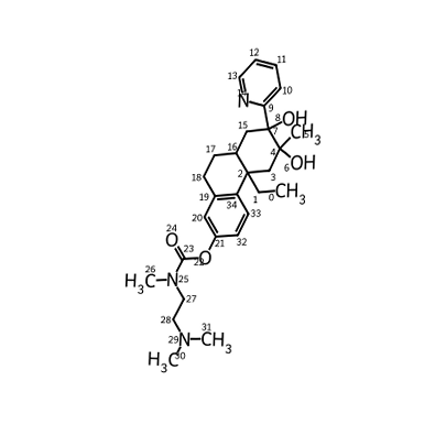 CCC12CC(C)(O)C(O)(c3ccccn3)CC1CCc1cc(OC(=O)N(C)CCN(C)C)ccc12